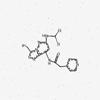 CCC(CC)Nc1cc(NC(=O)Cc2ccncc2)c2nnc(C(C)C)n2n1